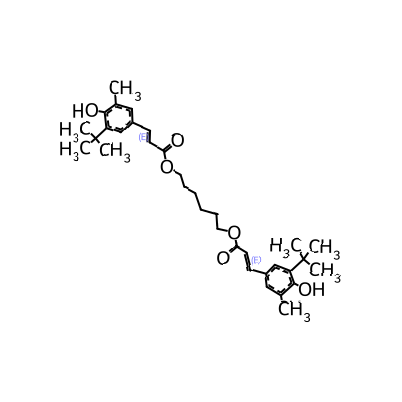 Cc1cc(/C=C/C(=O)OCCCCCCOC(=O)/C=C/c2cc(C)c(O)c(C(C)(C)C)c2)cc(C(C)(C)C)c1O